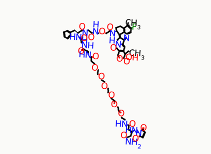 CC[C@@]1(O)C(=O)OCc2c1cc1n(c2=O)Cc2c-1nc1cc(F)c(C)c3c1c2[C@@H](NC(=O)COCNC(=O)CNC(=O)[C@H](Cc1ccccc1)NC(=O)CNC(=O)CNC(=O)CCOCCOCCOCCOCCOCCOCCNC(=O)CC(CC(N)=O)NN1C(=O)C=CC1=O)CC3